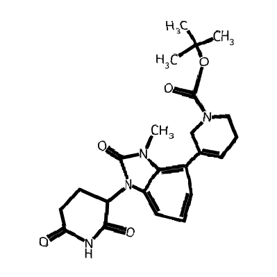 Cn1c(=O)n(C2CCC(=O)NC2=O)c2cccc(C3=CCCN(C(=O)OC(C)(C)C)C3)c21